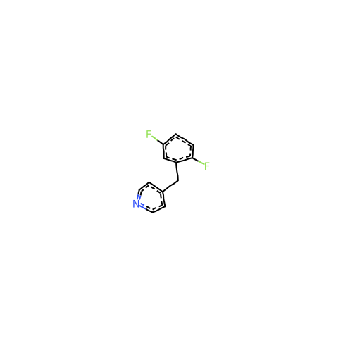 Fc1ccc(F)c(Cc2ccncc2)c1